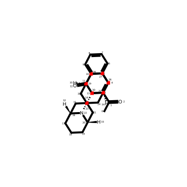 CC(=O)c1nc2ccccc2c(=O)n1[C@H]1C[C@H]2CCC[C@@H](C1)N2[C@H]1C[C@@H]2CCC[C@@H](C2)C1